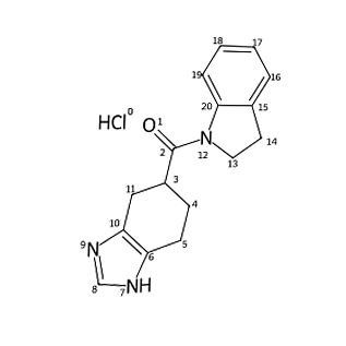 Cl.O=C(C1CCc2[nH]cnc2C1)N1CCc2ccccc21